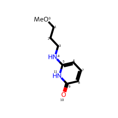 COCCCNc1cccc(=O)[nH]1